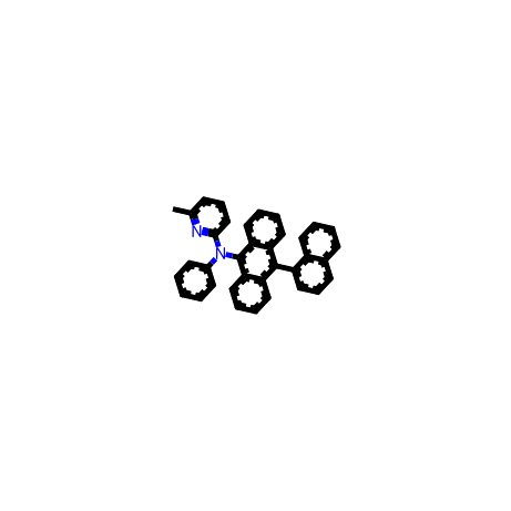 Cc1cccc(N(c2ccccc2)c2c3ccccc3c(-c3cccc4ccccc34)c3ccccc23)n1